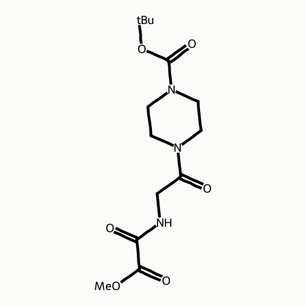 COC(=O)C(=O)NCC(=O)N1CCN(C(=O)OC(C)(C)C)CC1